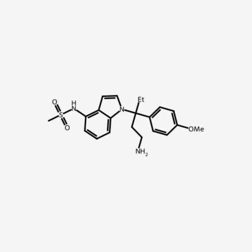 CCC(CCN)(c1ccc(OC)cc1)n1ccc2c(NS(C)(=O)=O)cccc21